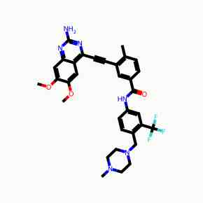 COc1cc2nc(N)nc(C#Cc3cc(C(=O)Nc4ccc(CN5CCN(C)CC5)c(C(F)(F)F)c4)ccc3C)c2cc1OC